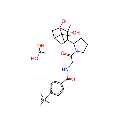 CC1(C)C2CC(C3CCCN3C(=O)CNC(=O)c3cc[c]([Sn]([CH3])([CH3])[CH3])cc3)C(C)(O)C1(O)C2.OBO